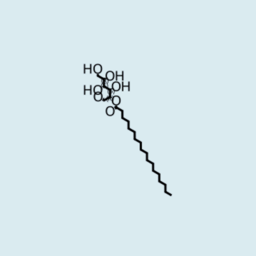 CCCCCCCCCCCCCCCCCC(=O)O[C@@H](C=O)[C@@H](O)[C@@H](O)[C@H](O)CO